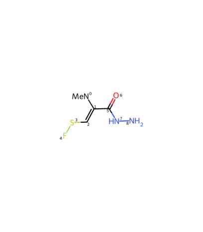 CN/C(=C\SF)C(=O)NN